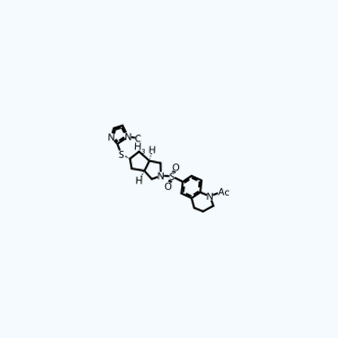 CC(=O)N1CCCc2cc(S(=O)(=O)N3C[C@H]4C[C@H](Sc5nccn5C)C[C@H]4C3)ccc21